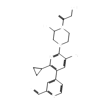 C=Cc1cc(-c2cc(C#N)c(N3CCN(C(=O)CO)C(C)C3)nc2C2CC2)ccn1